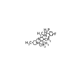 C=C(NCc1c(F)cc(F)cc1P)C1=CN2CC3CC(C)CCN3C(=C)C2=C(C)C1=C